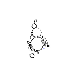 O=C1NS(=O)(=O)[C@]2(C[C@@H]3CCCO3)C[C@H]2C/C=C/[C@H](O)[C@@H]2CC[C@H]2CN2CCCCc3cc(Cl)ccc3COc3ccc1cc32